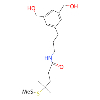 CSSC(C)(C)CCC(=O)NCCCc1cc(CO)cc(CO)c1